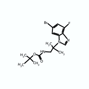 CC(C)(C)OC(=O)NCC(C)(C)n1cnc2c(F)cc(Br)cc21